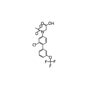 CS(=O)(=O)N(CC(=O)O)c1ccc(-c2cccc(OC(F)(F)F)c2)c(Cl)c1